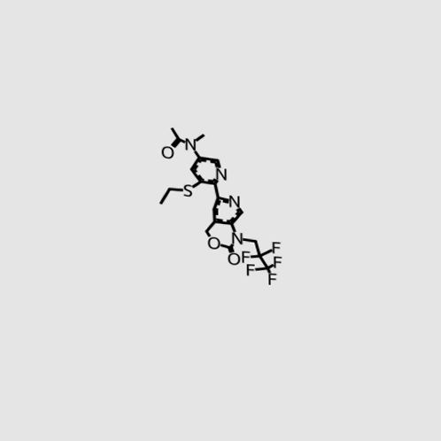 CCSc1cc(N(C)C(C)=O)cnc1-c1cc2c(cn1)N(CC(F)(F)C(F)(F)F)C(=O)OC2